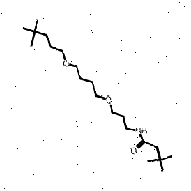 CC(C)(C)CCCOCCCCOCCCNC(=O)CC(C)(C)C